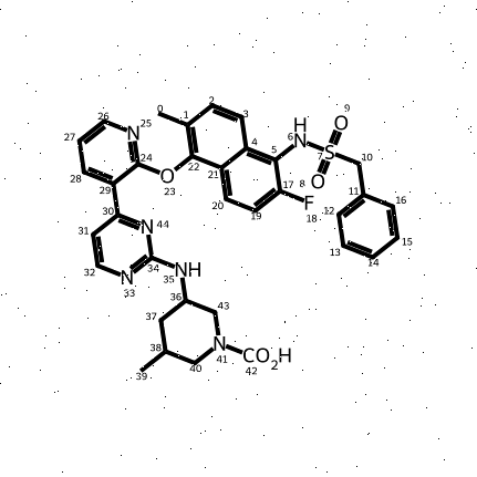 Cc1ccc2c(NS(=O)(=O)Cc3ccccc3)c(F)ccc2c1Oc1ncccc1-c1ccnc(NC2CC(C)CN(C(=O)O)C2)n1